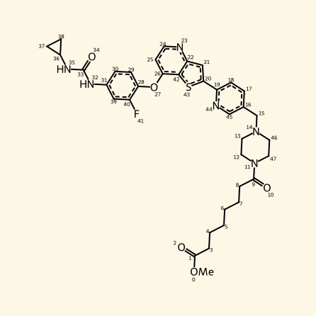 COC(=O)CCCCCCC(=O)N1CCN(Cc2ccc(-c3cc4nccc(Oc5ccc(NC(=O)NC6CC6)cc5F)c4s3)nc2)CC1